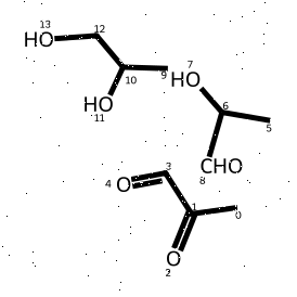 CC(=O)C=O.CC(O)C=O.CC(O)CO